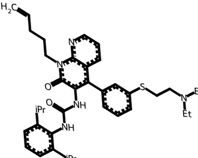 C=CCCCn1c(=O)c(NC(=O)Nc2c(C(C)C)cccc2C(C)C)c(-c2cccc(SCCN(CC)CC)c2)c2cccnc21